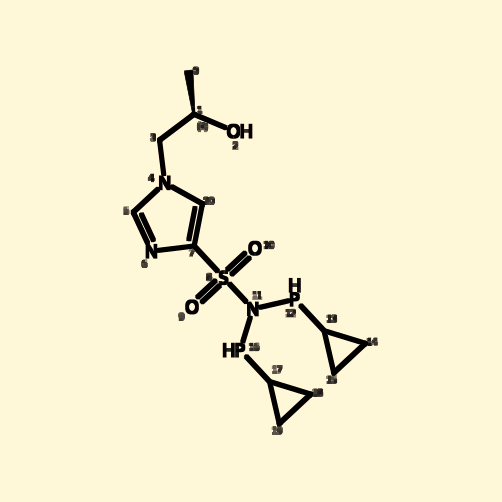 C[C@@H](O)Cn1cnc(S(=O)(=O)N(PC2CC2)PC2CC2)c1